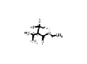 CCOC(=O)C(C(C)C)C(F)(F)F